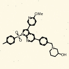 COc1ccc(-c2cn(S(=O)(=O)c3ccc(C)cc3)c3ncc(-c4ccc(CN5CCCC(O)C5)cc4)cc23)cn1